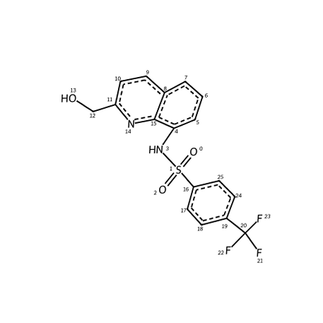 O=S(=O)(Nc1cccc2ccc(CO)nc12)c1ccc(C(F)(F)F)cc1